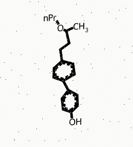 CCCOC(C)CCc1ccc(-c2ccc(O)cc2)cc1